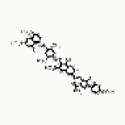 COc1cc(/N=N/c2ccc(S(=O)(=O)O)c3cc(S(=O)(=O)O)cc(O)c23)c(C)cc1/N=N/c1c(S(=O)(=O)O)cc2cc(/N=N/C3C(=O)N(c4ccc(C(=O)O)cc4)N=C3C(N)=O)ccc2c1O